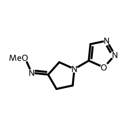 CON=C1CCN(c2cnno2)C1